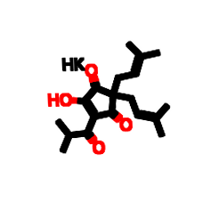 CC(C)=CCC1(CC=C(C)C)C(=O)C(O)=C(C(=O)C(C)C)C1=O.[KH]